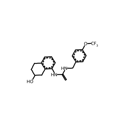 C=C(NCc1ccc(OC(F)(F)F)cc1)Nc1cccc2c1CC(O)CC2